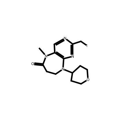 CN1C(=O)CCN(C2CCOCC2)c2nc(CI)ncc21